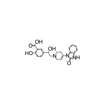 O=C(O)c1cc(C(O)CN2CC=C(n3c(=O)[nH]c4ccccc43)CC2)ccc1O